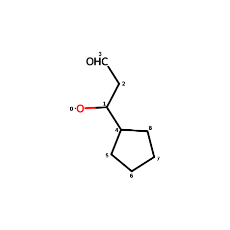 [O]C(CC=O)C1CCCC1